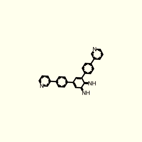 N=C1C=C(c2ccc(-c3cccnc3)cc2)C=C(c2ccc(-c3cccnc3)cc2)C1=N